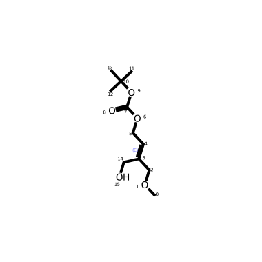 COC/C(=C/COC(=O)OC(C)(C)C)CO